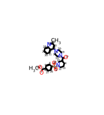 COC(=O)c1ccc(S(=O)(=O)N2CCCC(C(=O)N3CCN(c4cc(C)nc5ccccc45)CC3)C2)cc1